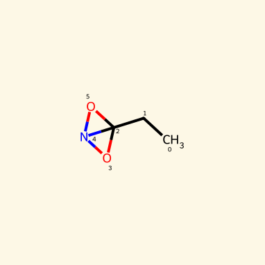 CCC12ON1O2